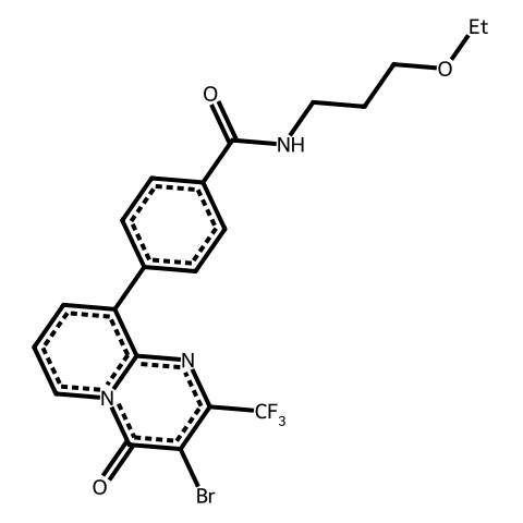 CCOCCCNC(=O)c1ccc(-c2cccn3c(=O)c(Br)c(C(F)(F)F)nc23)cc1